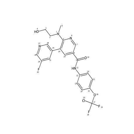 CN(CCO)c1ncc(C(=O)Nc2ccc(OC(F)(F)Cl)cc2)cc1-c1cncc(F)c1